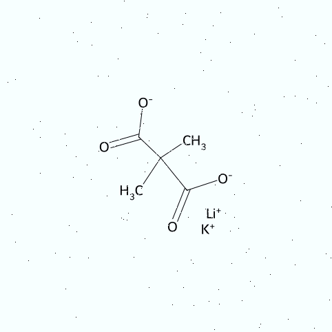 CC(C)(C(=O)[O-])C(=O)[O-].[K+].[Li+]